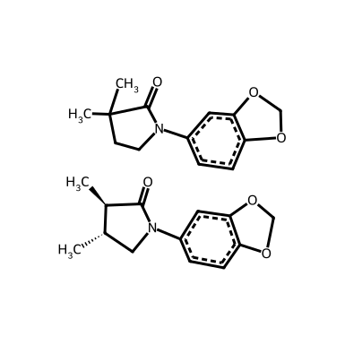 CC1(C)CCN(c2ccc3c(c2)OCO3)C1=O.C[C@H]1CN(c2ccc3c(c2)OCO3)C(=O)[C@@H]1C